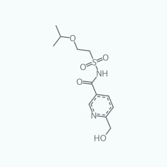 CC(C)OCCS(=O)(=O)NC(=O)c1ccc(CO)nc1